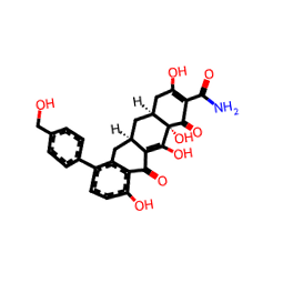 NC(=O)C1=C(O)C[C@@H]2C[C@@H]3Cc4c(-c5ccc(CO)cc5)ccc(O)c4C(=O)C3=C(O)[C@]2(O)C1=O